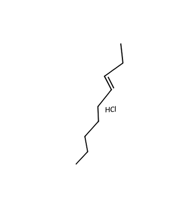 CCC=CCCCCC.Cl